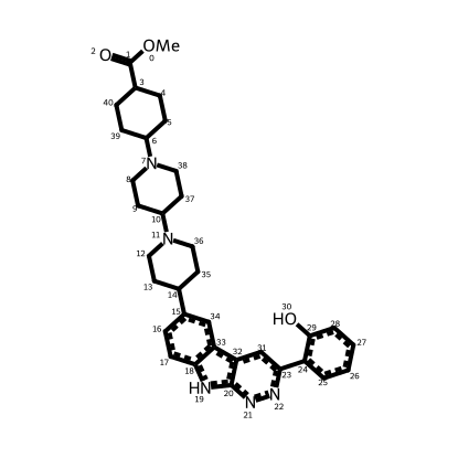 COC(=O)C1CCC(N2CCC(N3CCC(c4ccc5[nH]c6nnc(-c7ccccc7O)cc6c5c4)CC3)CC2)CC1